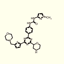 Cn1ccc(NC(=O)Nc2ccc(-c3nc(-c4ccc(CN5CCOCC5)s4)nc(C4CNCCO4)n3)cc2)n1